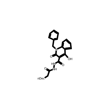 CCCCCCCCCCCC(=O)NNC(=O)c1c(O)c2ccccc2n(Cc2ccccc2)c1=O